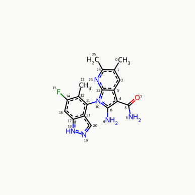 Cc1cc2c(C(N)=O)c(N)n(-c3c(C)c(F)cc4[nH]ncc34)c2nc1C